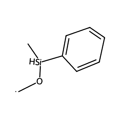 [CH2]O[SiH](C)c1ccccc1